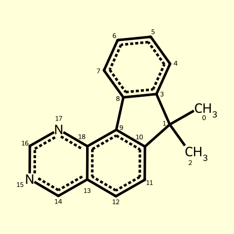 CC1(C)c2ccccc2-c2c1ccc1cncnc21